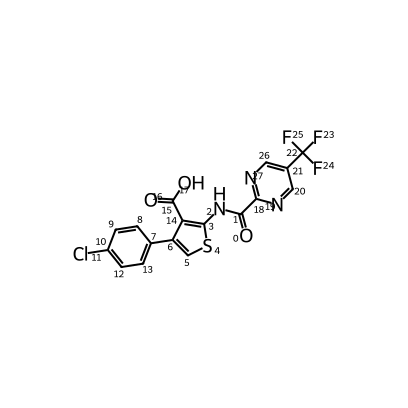 O=C(Nc1scc(-c2ccc(Cl)cc2)c1C(=O)O)c1ncc(C(F)(F)F)cn1